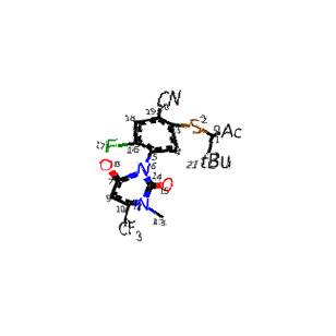 CC(=O)C(Sc1cc(-n2c(=O)cc(C(F)(F)F)n(C)c2=O)c(F)cc1C#N)C(C)(C)C